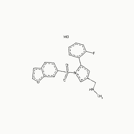 CNCc1cc(-c2ccccc2F)n(S(=O)(=O)c2ccc3ccoc3c2)c1.Cl